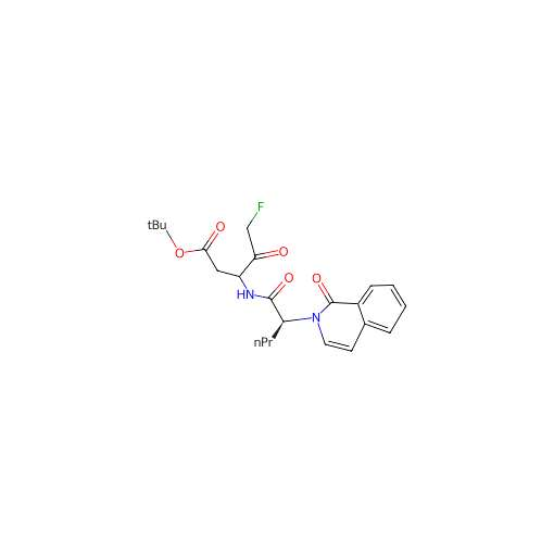 CCC[C@@H](C(=O)NC(CC(=O)OC(C)(C)C)C(=O)CF)n1ccc2ccccc2c1=O